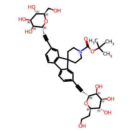 CC(C)(C)OC(=O)N1CCC2(CC1)c1cc(C#C[C@H]3O[C@H](CO)[C@@H](O)[C@H](O)[C@@H]3O)ccc1-c1ccc(C#C[C@H]3O[C@H](CCO)[C@@H](O)[C@H](O)[C@@H]3O)cc12